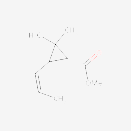 C/C=C\C1[C@@H](C(=O)OC)C1(C)C